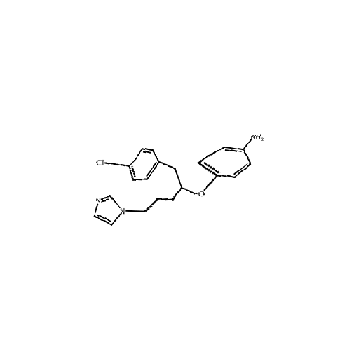 Nc1ccc(OC(CCCn2ccnc2)Cc2ccc(Cl)cc2)cc1